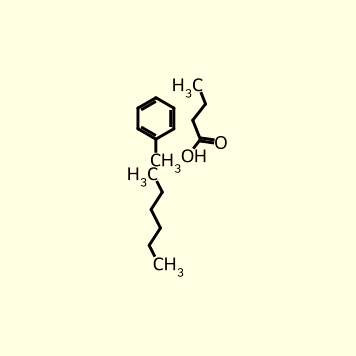 CCCC(=O)O.CCCCCC.Cc1ccccc1